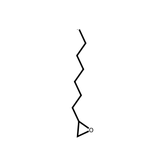 [CH2]CCCCCCC1CO1